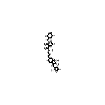 O=C1Nc2cc(C=CCNC(=O)c3cccn(CC4CCCCC4)c3=O)ccc2C1=Cc1ccc[nH]1